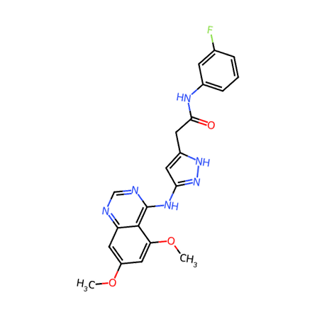 COc1cc(OC)c2c(Nc3cc(CC(=O)Nc4cccc(F)c4)[nH]n3)ncnc2c1